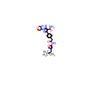 CC(C)(C)Cc1cc(NC(=O)Cc2ccc(-c3nn(C4CCOCC4)c(N)c3C(N)=O)cc2)on1